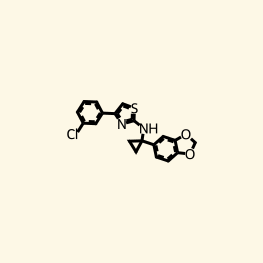 Clc1cccc(-c2csc(NC3(c4ccc5c(c4)OCO5)CC3)n2)c1